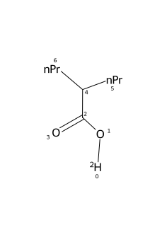 [2H]OC(=O)C(CCC)CCC